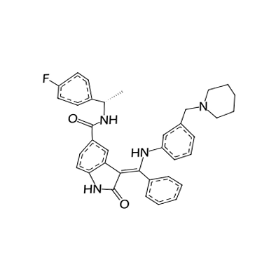 C[C@H](NC(=O)c1ccc2c(c1)C(=C(Nc1cccc(CN3CCCCC3)c1)c1ccccc1)C(=O)N2)c1ccc(F)cc1